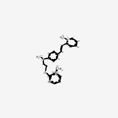 CN(CCSc1nccc[n+]1C)c1ccc(/C=C/c2cccc[n+]2C)cc1